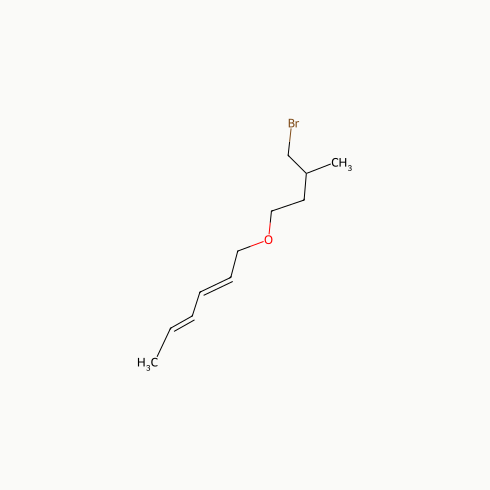 C/C=C/C=C/COCCC(C)CBr